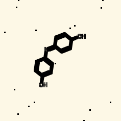 Oc1ccc(N=C2C=CC(O)C=C2)cc1